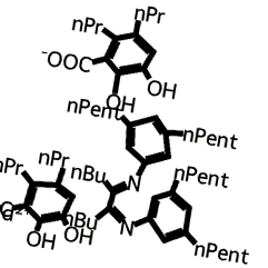 CCCCCc1cc(CCCCC)cc(N=C(CCCC)C(CCCC)=Nc2cc(CCCCC)cc(CCCCC)c2)c1.CCCc1cc(O)c(O)c(C(=O)[O-])c1CCC.CCCc1cc(O)c(O)c(C(=O)[O-])c1CCC.[Pd+2]